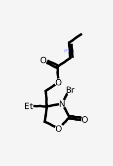 C/C=C/C(=O)OCC1(CC)COC(=O)N1Br